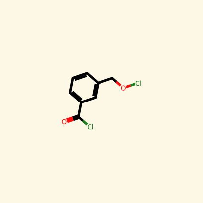 O=C(Cl)c1cccc(COCl)c1